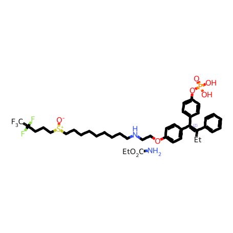 CC/C(=C(\c1ccc(OCCNCCCCCCCCC[S+]([O-])CCCC(F)(F)C(F)(F)F)cc1)c1ccc(OP(=O)(O)O)cc1)c1ccccc1.CCOC(N)=O